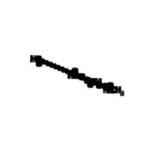 CNC(=O)COCCOCCNC(=O)COCCOCCNC(=O)CCCCCCCCCCCCCCCCC(=O)O